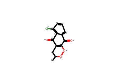 CC1CC2=C(OO1)C(=O)c1cccc(Cl)c1C2=O